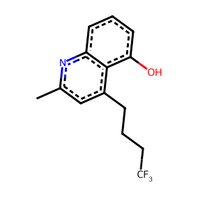 Cc1cc(CCCC(F)(F)F)c2c(O)cccc2n1